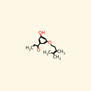 C=CC(=O)c1cc(O)cc(OCCC(C)=C(C)C)c1